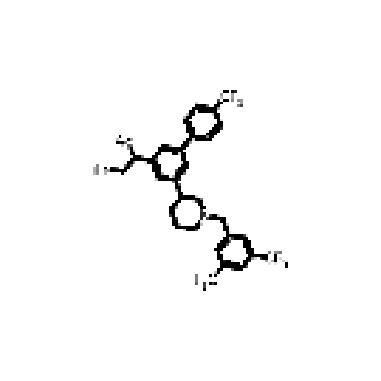 CC(=O)C(CC(C)C)c1cc(-c2ccc(C(F)(F)F)cc2)cc(C2CCCN(Cc3cc(C(F)(F)F)cc(C(F)(F)F)c3)C2)c1